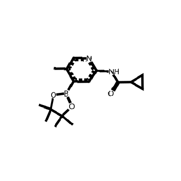 Cc1cnc(NC(=O)C2CC2)cc1B1OC(C)(C)C(C)(C)O1